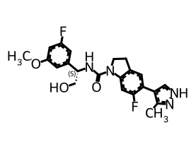 COc1cc(F)cc([C@@H](CO)NC(=O)N2CCc3cc(-c4c[nH]nc4C)c(F)cc32)c1